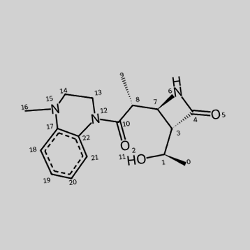 C[C@@H](O)[C@H]1C(=O)N[C@@H]1[C@@H](C)C(=O)N1CCN(C)c2ccccc21